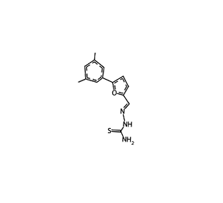 Cc1cc(C)cc(-c2ccc(C=NNC(N)=S)o2)c1